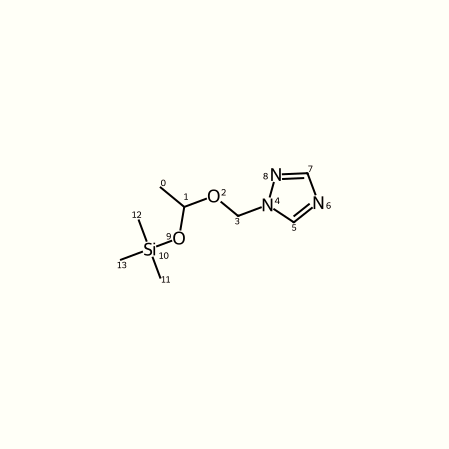 CC(OCn1cncn1)O[Si](C)(C)C